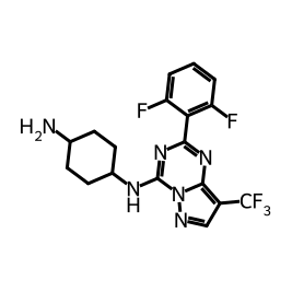 NC1CCC(Nc2nc(-c3c(F)cccc3F)nc3c(C(F)(F)F)cnn23)CC1